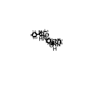 CCn1nc(-c2ccccc2)cc1C(=O)Nc1ccc(S(=O)(=O)Nc2ncccn2)cc1